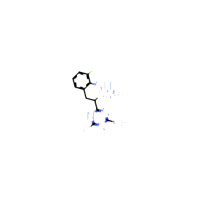 CSC(Cc1cccc(F)c1N)c1nc(C)nc(C)n1